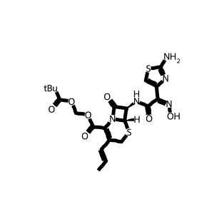 C/C=C/C1=C(C(=O)OCOC(=O)C(C)(C)C)N2C(=O)[C@@H](NC(=O)/C(=N\O)c3csc(N)n3)[C@@H]2SC1